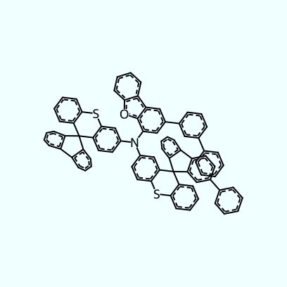 c1ccc(-c2cccc(-c3cc(N(c4ccc5c(c4)Sc4ccccc4C54c5ccccc5-c5ccccc54)c4ccc5c(c4)C4(c6ccccc6S5)c5ccccc5-c5ccc(-c6ccccc6)cc54)c4oc5ccccc5c4c3)c2)cc1